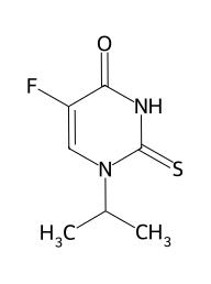 CC(C)n1cc(F)c(=O)[nH]c1=S